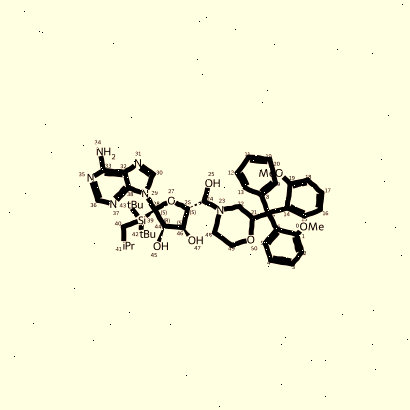 COc1ccccc1C(c1ccccc1)(c1ccccc1OC)C1CN(C(O)[C@H]2O[C@](n3cnc4c(N)ncnc43)([Si](CC(C)C)(C(C)(C)C)C(C)(C)C)[C@H](O)[C@@H]2O)CCO1